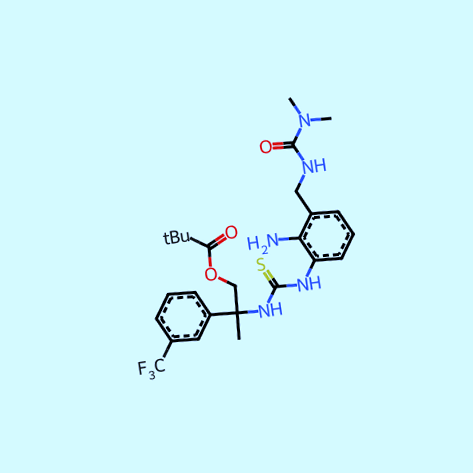 CN(C)C(=O)NCc1cccc(NC(=S)NC(C)(COC(=O)C(C)(C)C)c2cccc(C(F)(F)F)c2)c1N